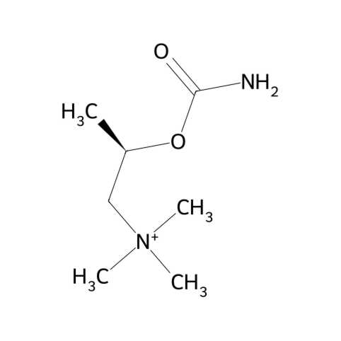 C[C@H](C[N+](C)(C)C)OC(N)=O